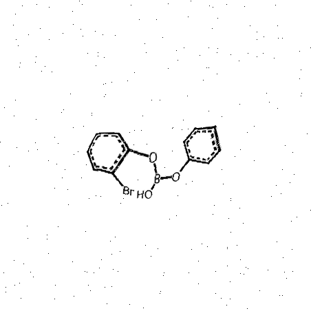 OB(Oc1ccccc1)Oc1ccccc1Br